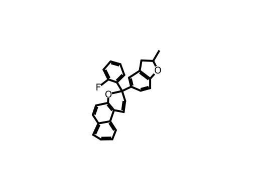 CC1Cc2cc(C3(c4ccccc4F)C=Cc4c(ccc5ccccc45)O3)ccc2O1